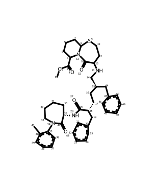 COC(=O)C1CCCC2SCCC(NC[C@H](CC[C@H](Cc3ccccc3)C(=O)N[C@H]3CCCCN(c4ccccc4C)C3=O)Cc3ccccc3)C(=O)N21